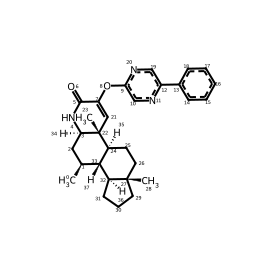 C[C@H]1C[C@H]2NC(=O)C(Oc3cnc(-c4ccccc4)cn3)=C[C@]2(C)[C@H]2CC[C@]3(C)CCC[C@H]3[C@H]12